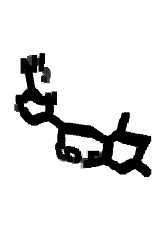 CCOC(=O)/C(=C\c1c(C)cc(C)cc1C)c1csc(N)n1